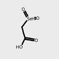 O=C(O)C[SeH](=O)=O